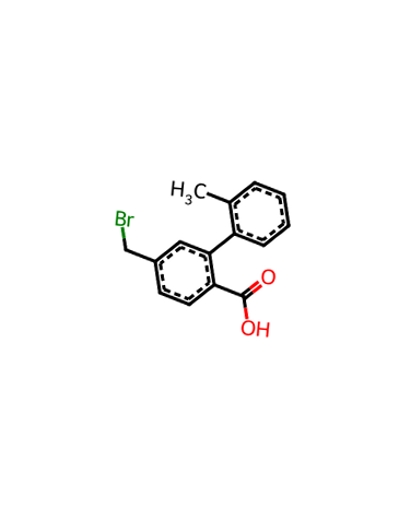 Cc1ccccc1-c1cc(CBr)ccc1C(=O)O